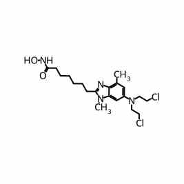 Cc1cc(N(CCCl)CCCl)cc2c1nc(CCCCCCC(=O)NO)n2C